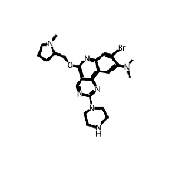 CN(C)c1cc2c(cc1Br)nc(OCC1CCCN1C)c1cnc(N3CCNCC3)nc12